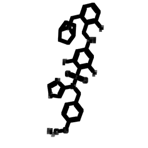 COc1ccc(CN(c2cscn2)S(=O)(=O)c2c(F)cc(NCc3c(F)cccc3CN3C4CCC3CC4)cc2F)cc1